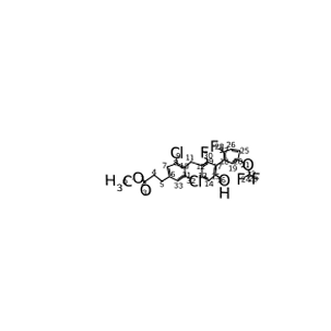 COC(=O)CCc1cc(Cl)c(Cc2ccc(O)c(-c3cc(OC(F)F)ccc3F)c2F)c(Cl)c1